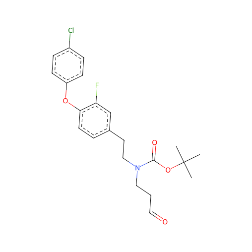 CC(C)(C)OC(=O)N(CCC=O)CCc1ccc(Oc2ccc(Cl)cc2)c(F)c1